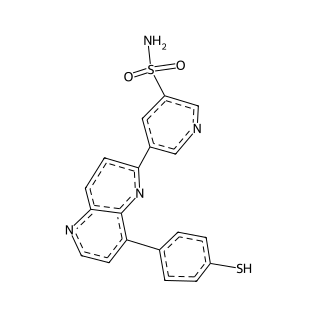 NS(=O)(=O)c1cncc(-c2ccc3nccc(-c4ccc(S)cc4)c3n2)c1